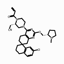 C=CC(=O)N1CCN(c2nc(OC[C@@H]3CCCN3C)nc3c2CCC2(CCCc4ccc(Cl)cc42)C3)C[C@@H]1CC#N